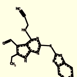 C#CCNc1nc(Sc2nc3ccccc3s2)nc2[nH]c(CC)c(C=O)c12